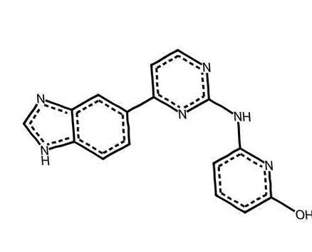 Oc1cccc(Nc2nccc(-c3ccc4[nH]cnc4c3)n2)n1